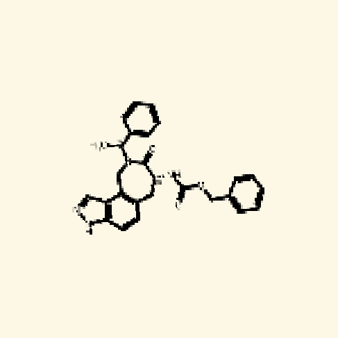 C[C@@H](c1ccccc1)N1Cc2c(ccc3[nH]ncc23)C[C@@H](NC(=O)OCc2ccccc2)C1=O